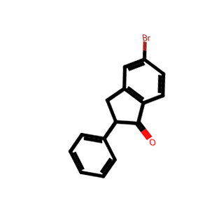 O=C1c2ccc(Br)cc2CC1c1ccccc1